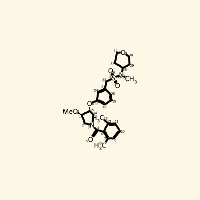 CO[C@@H]1CN(C(=O)c2c(C)cccc2C)C[C@H]1Oc1cccc(CS(=O)(=O)N(C)C2CCOCC2)c1